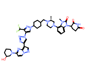 C[C@H]1CN(c2cccc3c2n(C)c(=O)n3C2CCC(=O)NC2=O)CCN1CC1CCC(n2cc(-n3cc(-c4cnn5ccc(N6CCC[C@H](O)C6)nc45)nn3)c(C(F)F)n2)CC1